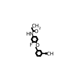 C#Cc1cccc(COc2ccc(NC(=O)C=C)cc2F)c1